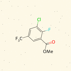 COC(=O)c1cc(C(F)(F)F)cc(Cl)c1F